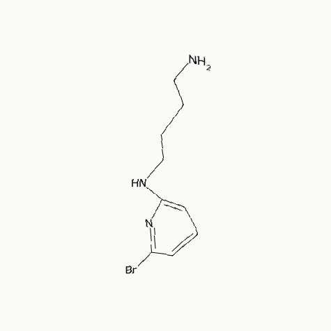 NCCCCNc1cccc(Br)n1